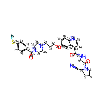 N#CC1CCCN1C(=O)CNC(=O)c1ccnc2ccc(OCCCN3CCN(C(=O)c4ccc(SF)cc4)CC3)cc12